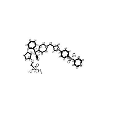 CS(=O)(=O)CO[C@H]1CCC[C@@H]1C(C#N)(c1ccccc1)C1CCN(CC2CN(c3ccc(S(=O)(=O)c4ccncc4)cc3)C2)CC1